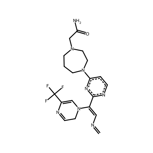 C=N/C=C(/c1nccc(N2CCCN(CC(N)=O)CC2)n1)N1C=C(C(F)(F)F)N=CC1